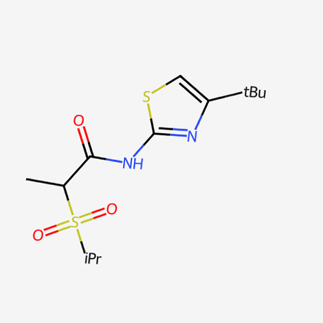 CC(C)S(=O)(=O)C(C)C(=O)Nc1nc(C(C)(C)C)cs1